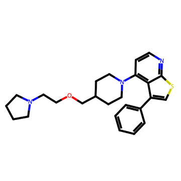 c1ccc(-c2csc3nccc(N4CCC(COCCN5CCCC5)CC4)c23)cc1